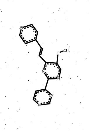 COc1cnc(-c2ccn[c]n2)nc1/C=C/c1ccncc1